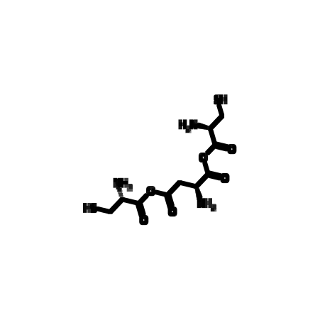 N[C@@H](CS)C(=O)OC(=O)C[C@H](N)C(=O)OC(=O)[C@@H](N)CS